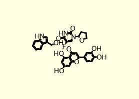 O=c1[nH]c(=O)n(C2CCCO2)cc1F.O=c1cc(-c2ccc(O)c(O)c2)oc2cc(O)cc(O)c12.OCc1c[nH]c2ccccc12